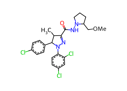 COCC1CCCN1NC(=O)C1=NN(c2ccc(Cl)cc2Cl)C(c2ccc(Cl)cc2)C1C